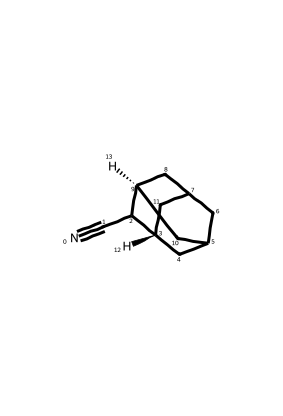 N#CC1[C@H]2CC3CC(C[C@H]1C3)C2